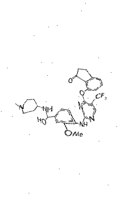 COc1cc(C(O)NC2CCN(C)CC2)ccc1Nc1ncc(C(F)(F)F)c(Oc2cccc3c2C(=O)CC3)n1